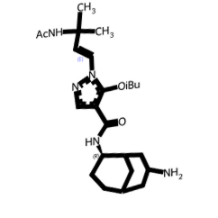 CC(=O)NC(C)(C)/C=C/n1ncc(C(=O)N[C@@H]2CCC3CC(N)CC2C3)c1OCC(C)C